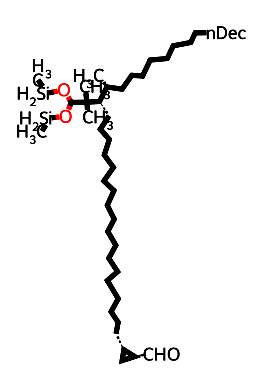 CCCCCCCCCCCCCCCCCC[C@H](C)[C@H](CCCCCCCCCCCCCCCCCC[C@H]1C[C@H]1C=O)C(C)(C)C(O[SiH2]C)O[SiH2]C